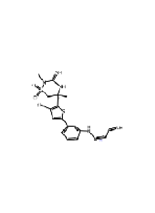 CN1C(=N)N[C@](C)(c2sc(-c3cccc(N/N=C\C=N)c3)cc2Cl)CS1(=O)=O